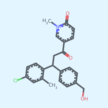 Cc1cc(Cl)ccc1C(CC(=O)c1ccc(=O)n(C)c1)c1ccc(CO)cc1